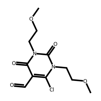 COCCn1c(Cl)c(C=O)c(=O)n(CCOC)c1=O